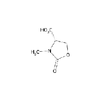 CN1C(=O)OC[C@H]1C(=O)O